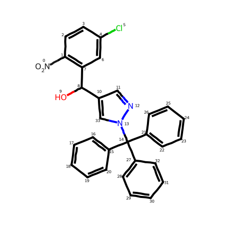 O=[N+]([O-])c1ccc(Cl)cc1C(O)c1cnn(C(c2ccccc2)(c2ccccc2)c2ccccc2)c1